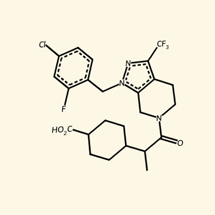 CC(C(=O)N1CCc2c(C(F)(F)F)nn(Cc3ccc(Cl)cc3F)c2C1)C1CCC(C(=O)O)CC1